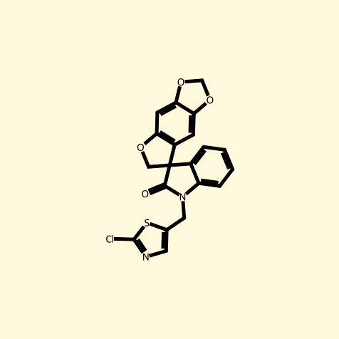 O=C1N(Cc2cnc(Cl)s2)c2ccccc2C12COc1cc3c(cc12)OCO3